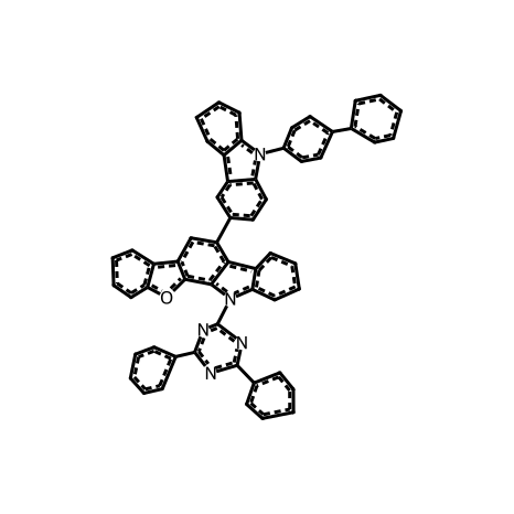 c1ccc(-c2ccc(-n3c4ccccc4c4cc(-c5cc6c7ccccc7oc6c6c5c5ccccc5n6-c5nc(-c6ccccc6)nc(-c6ccccc6)n5)ccc43)cc2)cc1